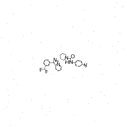 CN(C)c1ccc(NC(=O)N2CCC[C@@H](c3nc(-c4cccc(C(F)F)c4)c4ccccn34)C2)cc1